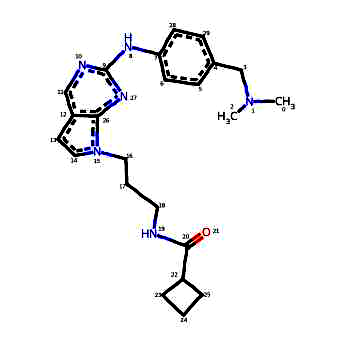 CN(C)Cc1ccc(Nc2ncc3ccn(CCCNC(=O)C4CCC4)c3n2)cc1